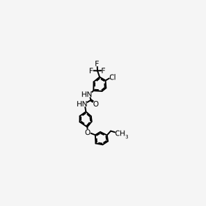 CCc1cccc(Oc2ccc(NC(=O)Nc3ccc(Cl)c(C(F)(F)F)c3)cc2)c1